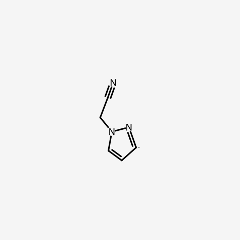 N#CCn1cc[c]n1